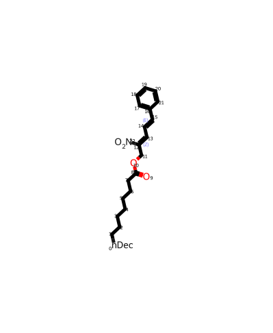 CCCCCCCCCCCCCCCCCC(=O)OC/C(=C/C=C/c1ccccc1)[N+](=O)[O-]